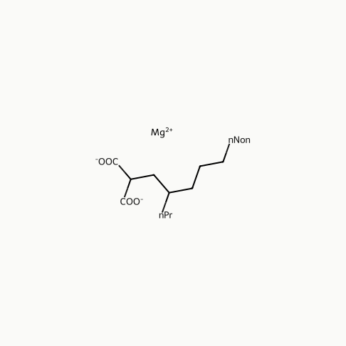 CCCCCCCCCCCCC(CCC)CC(C(=O)[O-])C(=O)[O-].[Mg+2]